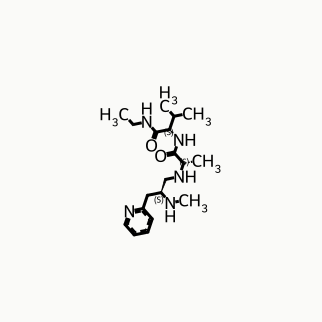 CCNC(=O)[C@@H](NC(=O)[C@H](C)NC[C@H](Cc1ccccn1)NC)C(C)C